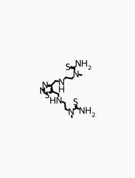 CN(CCNCc1nnsc1CNCCN(C)C(N)=S)C(N)=S